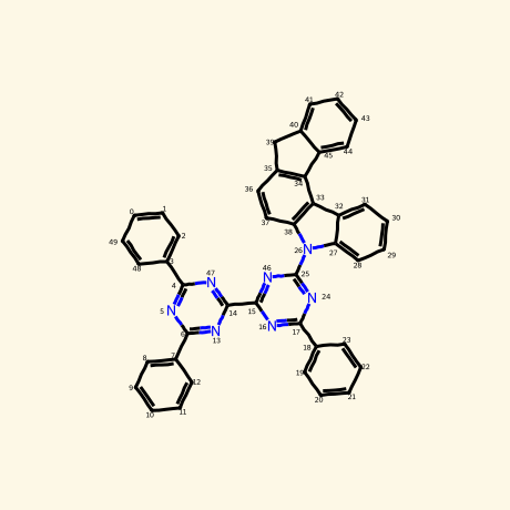 c1ccc(-c2nc(-c3ccccc3)nc(-c3nc(-c4ccccc4)nc(-n4c5ccccc5c5c6c(ccc54)Cc4ccccc4-6)n3)n2)cc1